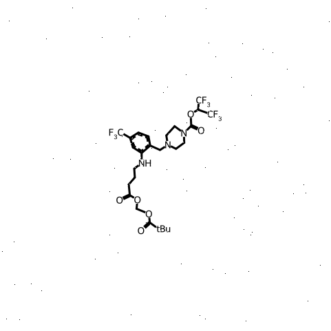 CC(C)(C)C(=O)OCOC(=O)CCCNc1cc(C(F)(F)F)ccc1CN1CCN(C(=O)OC(C(F)(F)F)C(F)(F)F)CC1